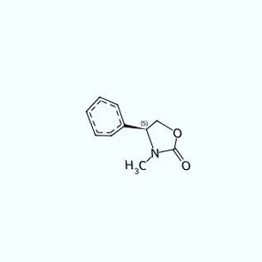 CN1C(=O)OC[C@@H]1c1ccccc1